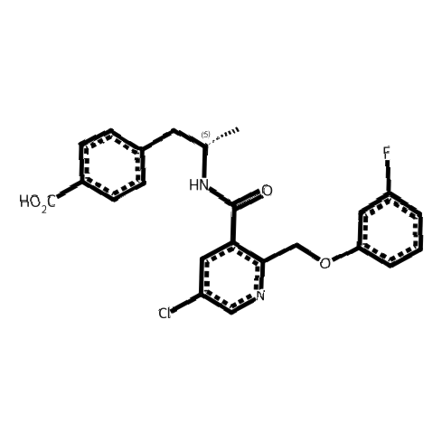 C[C@@H](Cc1ccc(C(=O)O)cc1)NC(=O)c1cc(Cl)cnc1COc1cccc(F)c1